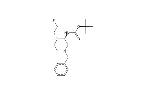 CC(C)(C)OC(=O)N[C@H]1CN(Cc2ccccc2)CC[C@@H]1CCF